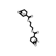 CC12CCC(C(=O)OCCCOC(=O)C3CCC4(C)O[C@H]4C3)CC1O2